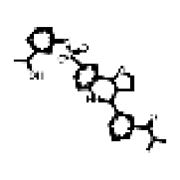 CC(C)C(=O)c1cccc(C2Nc3ccc(S(=O)(=O)Nc4cccc(C(C)O)c4)cc3C3OCCC23)c1